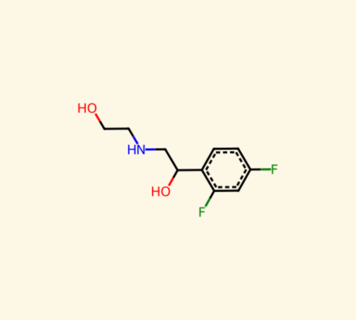 OCCNCC(O)c1ccc(F)cc1F